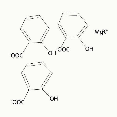 O=C([O-])c1ccccc1O.O=C([O-])c1ccccc1O.O=C([O-])c1ccccc1O.[K+].[Mg+2]